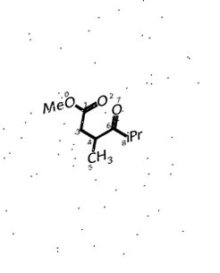 COC(=O)CC(C)C(=O)C(C)C